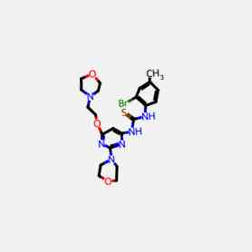 Cc1ccc(NC(=S)Nc2cc(OCCN3CCOCC3)nc(N3CCOCC3)n2)c(Br)c1